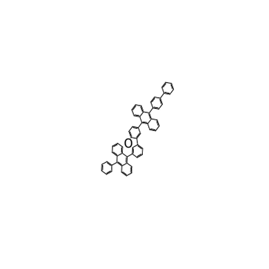 c1ccc(-c2ccc(-c3c4ccccc4c(-c4ccc5oc6c(-c7c8ccccc8c(-c8ccccc8)c8ccccc78)cccc6c5c4)c4ccccc34)cc2)cc1